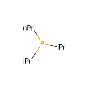 [CH2]CCP(C(C)C)C(C)C